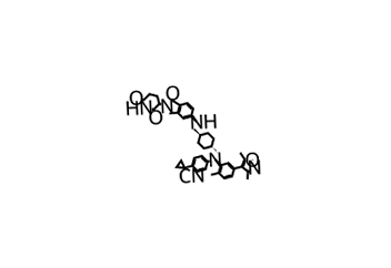 Cc1ccc(-c2c(C)noc2C)cc1N(C[C@H]1CC[C@H](CNc2ccc3c(c2)CN(C2CCC(=O)NC2=O)C3=O)CC1)c1ccc(C2(C#N)CC2)cc1